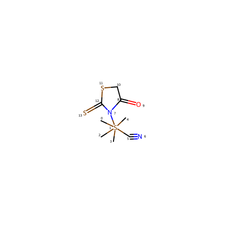 CS(C)(C)(C)(C#N)N1C(=O)CSC1=S